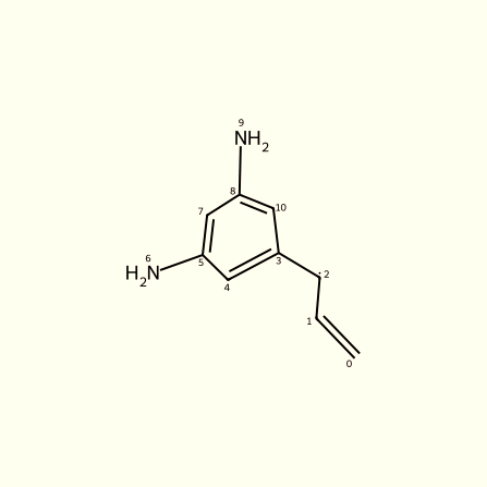 C=C[CH]c1cc(N)cc(N)c1